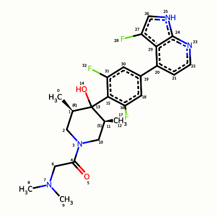 C[C@@H]1CN(C(=O)CN(C)C)C[C@H](C)C1(O)c1c(F)cc(-c2ccnc3[nH]cc(F)c23)cc1F